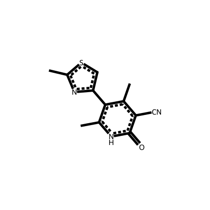 Cc1nc(-c2c(C)[nH]c(=O)c(C#N)c2C)cs1